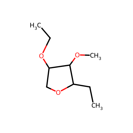 CCOC1COC(CC)C1OC